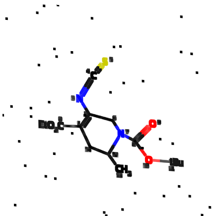 CCOC(=O)C1=C(N=C=S)CN(C(=O)OC(C)(C)C)C(C)C1